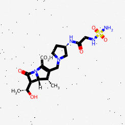 C[C@@H](O)C1C(=O)N2C(C(=O)O)=C(CN3CC[C@H](NC(=O)CNS(N)(=O)=O)C3)[C@H](C)[C@H]12